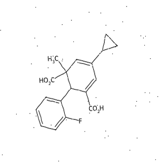 CC1(C(=O)O)C=C(C2CC2)C=C(C(=O)O)C1c1ccccc1F